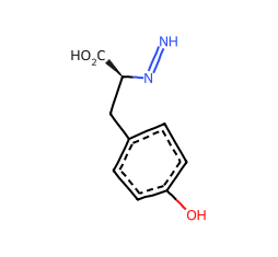 N=N[C@@H](Cc1ccc(O)cc1)C(=O)O